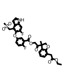 CCOC(=O)Cc1cccc2c1OCC2(C)C(=O)COC(=O)c1cc(Oc2c(F)cc3[nH]ccc3c2CS(C)(=O)=O)ccc1F